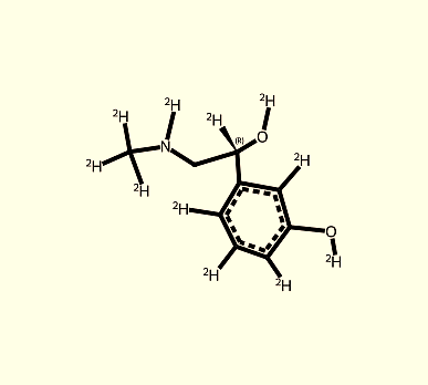 [2H]Oc1c([2H])c([2H])c([2H])c([C@]([2H])(CN([2H])C([2H])([2H])[2H])O[2H])c1[2H]